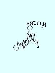 CN(c1ncc([N+](=O)[O-])c(NCC2CCC(NC(=O)O)CC2)n1)C1CCCCC1